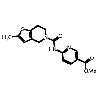 COC(=O)c1ccc(NC(=O)N2CCc3sc(C)cc3C2)nc1